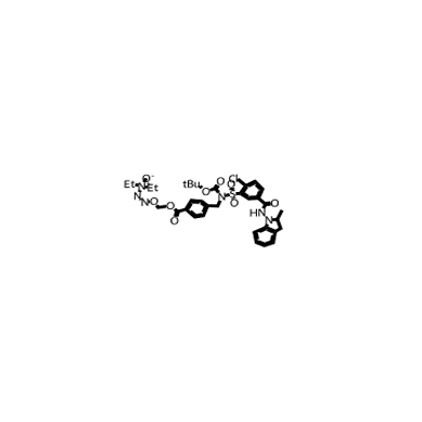 CC[N+]([O-])(CC)/N=N\OCOC(=O)c1ccc(CN(C(=O)OC(C)(C)C)S(=O)(=O)c2cc(C(=O)NN3c4ccccc4CC3C)ccc2Cl)cc1